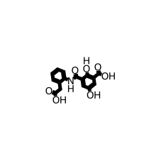 O=C(O)Cc1ccccc1NC(=O)c1cc(O)cc(C(=O)O)c1O